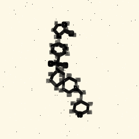 O=C1OCCN1c1ccc(S(=O)(=O)N2CCCC3(CCN(CC4CCOCC4)CC3)C2)cn1